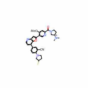 COc1cc(C(=O)N2CC[C@@H](N(C)C)C2)ncc1-c1cc2nccc(-c3ccc(N4CCC(F)C4)c(C#N)c3)c2o1